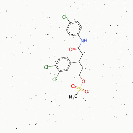 CS(=O)(=O)OCCC(CC(=O)Nc1ccc(Cl)cc1)c1ccc(Cl)c(Cl)c1